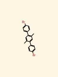 Cc1cc(-c2ccc(Br)cc2)c(C)cc1-c1ccc(Br)cc1